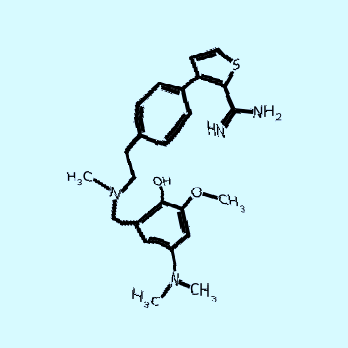 COc1cc(N(C)C)cc(CN(C)CCc2ccc(-c3ccsc3C(=N)N)cc2)c1O